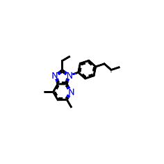 C[CH]Cc1ccc(-n2c(CC)nc3c(C)cc(C)nc32)cc1